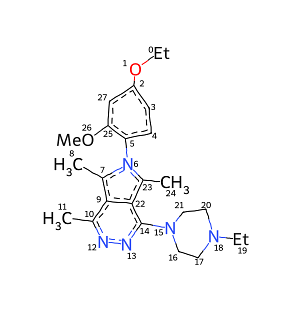 CCOc1ccc(-n2c(C)c3c(C)nnc(N4CCN(CC)CC4)c3c2C)c(OC)c1